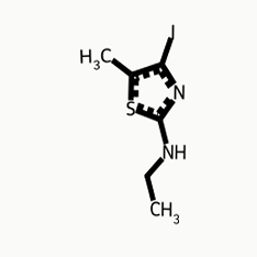 CCNc1nc(I)c(C)s1